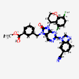 COC(=O)c1cccc(Cn2c(=O)n([C@@H]3CCOc4c(F)ccc(F)c43)c3nc(-n4cnc5ccc(C#N)cc54)ncc32)c1